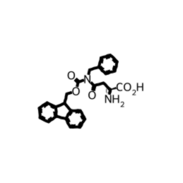 N[C@@H](CC(=O)N(Cc1ccccc1)C(=O)OCC1c2ccccc2-c2ccccc21)C(=O)O